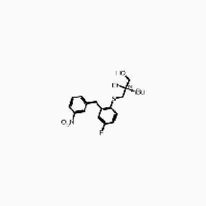 CCCC[C@@](CC)(CO)CSc1ccc(F)cc1Cc1cccc([N+](=O)[O-])c1